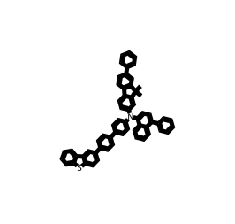 CC1(C)c2cc(-c3ccccc3)ccc2-c2ccc(N(c3ccc(-c4ccc(-c5ccc6sc7ccccc7c6c5)cc4)cc3)c3ccc(-c4ccccc4)c4ccccc34)cc21